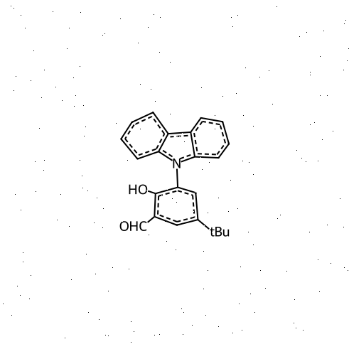 CC(C)(C)c1cc(C=O)c(O)c(-n2c3ccccc3c3ccccc32)c1